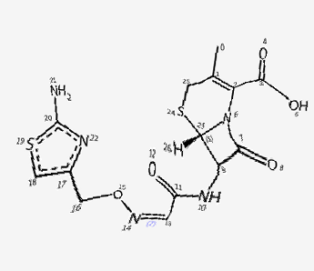 CC1=C(C(=O)O)N2C(=O)C(NC(=O)/C=N\OCc3csc(N)n3)[C@@H]2SC1